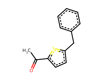 CC(=O)c1ccc(Cc2ccccc2)s1